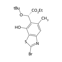 CCOC(=O)[C@@H](OC(C)(C)C)c1c(C)cc2nc(Br)sc2c1O